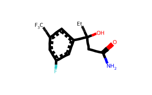 CCC(O)(CC(N)=O)c1cc(F)cc(C(F)(F)F)c1